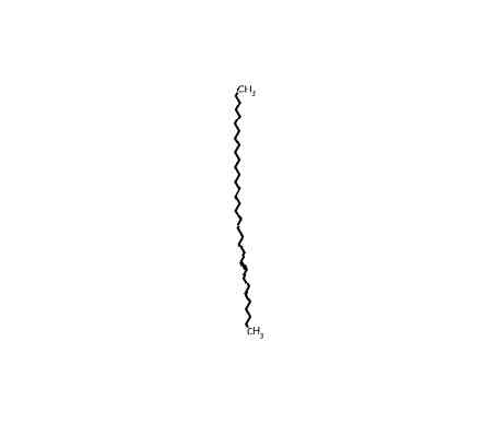 CCCCCCCCC=CCCCCCCCCCCCCCCCCCCCCCCC